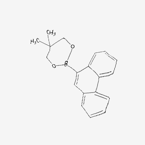 CC1(C)COB(c2cc3ccccc3c3ccccc23)OC1